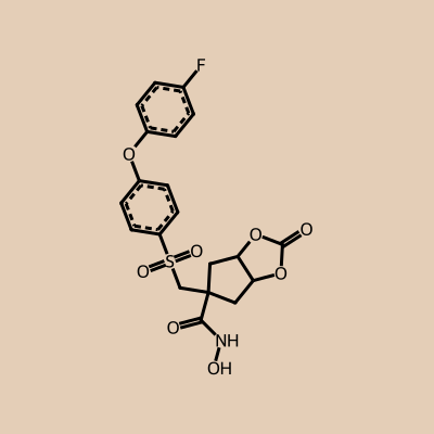 O=C1OC2CC(CS(=O)(=O)c3ccc(Oc4ccc(F)cc4)cc3)(C(=O)NO)CC2O1